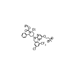 CC[C@@H]1C[C@H](N(Cc2cc(Cl)cc(C(F)(F)F)c2)c2ncc(OCCS(C)(=O)=O)cn2)CC(c2ccccc2)N1C(=O)OC(C)C